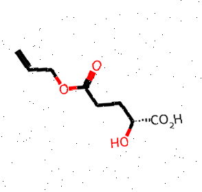 C=CCOC(=O)CC[C@@H](O)C(=O)O